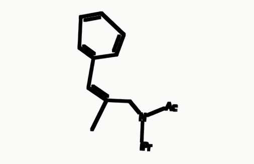 CC(=O)N(C/C(C)=C\c1ccccc1)C(C)C